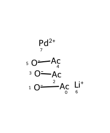 CC(=O)[O-].CC(=O)[O-].CC(=O)[O-].[Li+].[Pd+2]